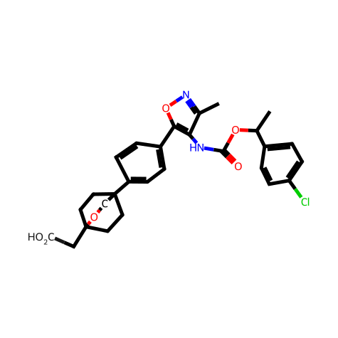 Cc1noc(-c2ccc(C34CCC(CC(=O)O)(CC3)OC4)cc2)c1NC(=O)OC(C)c1ccc(Cl)cc1